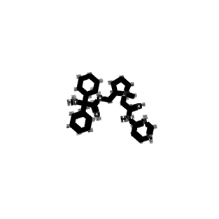 C[N+]1(CC(=O)Nc2ccncn2)CCCC1COC(=O)C(O)(c1ccccc1)C1CCCCC1